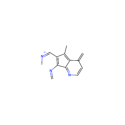 C=NC1=C(/C=N\C)C(C)=c2c1nccc2=C